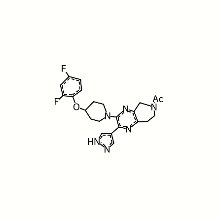 CC(=O)N1CCc2nc(-c3cn[nH]c3)c(N3CCC(Oc4ccc(F)cc4F)CC3)nc2C1